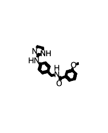 COc1cccc(C(=O)NCc2ccc(NC3=NCCN3)cc2)c1